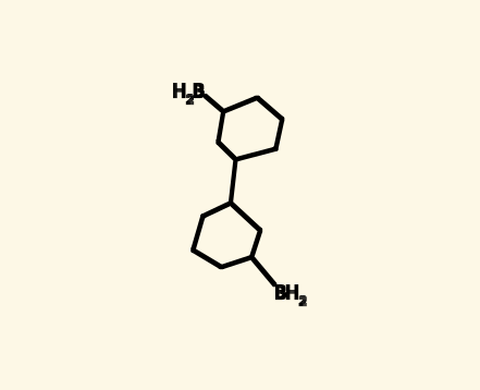 BC1CCCC(C2CCCC(B)C2)C1